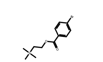 C[Si](C)(C)CCOC(=O)c1ccc(Br)cc1